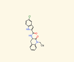 N#CCN1C(=O)[C@H](NC(=O)c2cc3cc(Cl)ccc3[nH]2)Cc2ccccc21